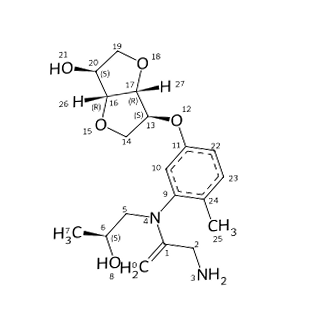 C=C(CN)N(C[C@H](C)O)c1cc(O[C@H]2CO[C@H]3[C@@H]2OC[C@@H]3O)ccc1C